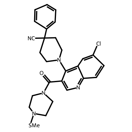 CSN1CCN(C(=O)c2cnc3ccc(Cl)cc3c2N2CCC(C#N)(c3ccccc3)CC2)CC1